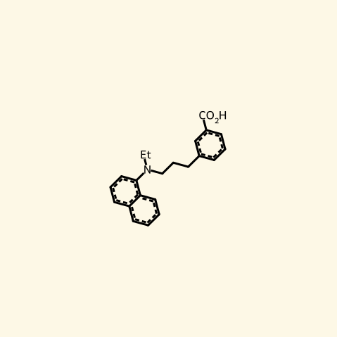 CCN(CCCc1cccc(C(=O)O)c1)c1cccc2ccccc12